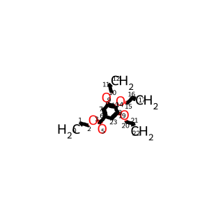 C=CCOC(=O)c1cc(OCC=C)c(OCC=C)c(OCC=C)c1